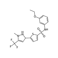 CCOc1cccc(NS(=O)(=O)c2ccc(C3C=C(C(F)(F)F)N(C)N3)s2)c1